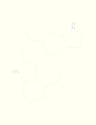 CC(C)c1cccc2[nH]c(CC(C)c3ccc4cc[nH]c4c3)cc12